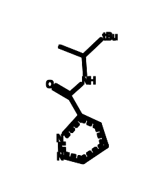 CC(NC(=O)c1cccnn1)C(C)(C)C